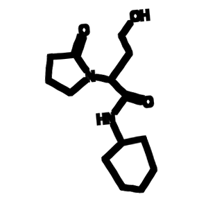 O=C(NC1CCCCC1)C(CCO)N1CCCC1=O